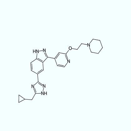 c1cc(-c2n[nH]c3ccc(-c4n[nH]c(CC5CC5)n4)cc23)cc(OCCN2CCCCC2)n1